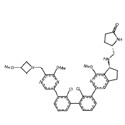 COc1nc(-c2cccc(-c3cccc(-c4cc5c(c(OC)n4)[C@@H](NC[C@@H]4CCC(=O)N4)CC5)c3Cl)c2Cl)cnc1CN1CC(OC)C1